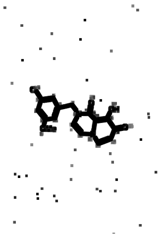 COc1cc(Cl)cc(Cn2ccn3ccc(=O)c(O)c3c2=O)c1